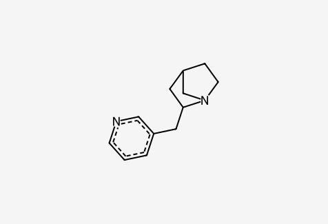 c1cncc(CC2CC3CCN2C3)c1